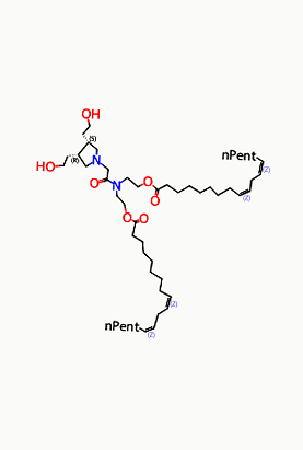 CCCCC/C=C\C/C=C\CCCCCCCC(=O)OCCN(CCOC(=O)CCCCCCC/C=C\C/C=C\CCCCC)C(=O)CN1C[C@@H](CCO)[C@@H](CCO)C1